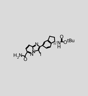 CC(C)(C)OC(=O)N[C@H]1CCc2cc(-c3nc4ccc(C(N)=O)nn4c3I)ccc21